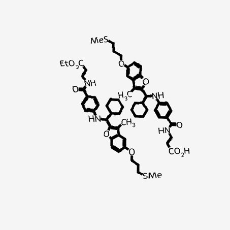 CCOC(=O)CCNC(=O)c1ccc(NC(c2oc3ccc(OCCCSC)cc3c2C)C2CCCCC2)cc1.CSCCCOc1ccc2oc(C(Nc3ccc(C(=O)NCCC(=O)O)cc3)C3CCCCC3)c(C)c2c1